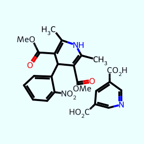 COC(=O)C1=C(C)NC(C)=C(C(=O)OC)C1c1ccccc1[N+](=O)[O-].O=C(O)c1cncc(C(=O)O)c1